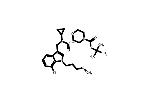 COCCCn1cc(CN(C(=O)[C@H]2CN(C(=O)OC(C)(C)C)CCO2)C2CC2)c2cccc(Cl)c21